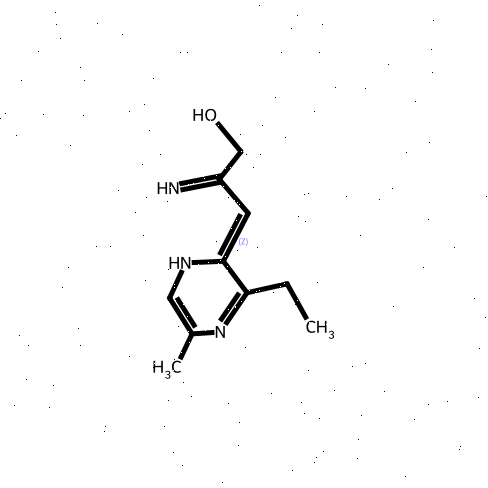 CCC1=NC(C)=CN/C1=C\C(=N)CO